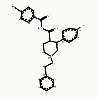 O=C(NC(=S)c1ccc(Cl)cc1)C1CCN(CCc2ccccc2)CC1c1ccc(F)cc1